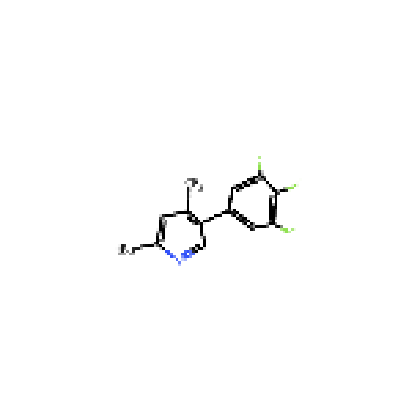 CC(C)(C)c1cc(C(F)(F)F)c(-c2cc(F)c(F)c(F)c2)cn1